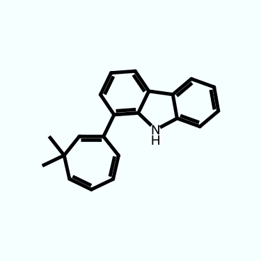 CC1(C)C=CC=CC(c2cccc3c2[nH]c2ccccc23)=C1